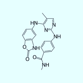 CNC(=O)c1ccc(Nc2ncc(C)c(Nc3ccc4oc(=O)[nH]c4c3)n2)cc1